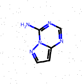 Nc1n[c]nc2ccnn12